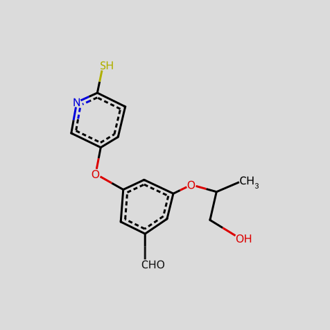 CC(CO)Oc1cc(C=O)cc(Oc2ccc(S)nc2)c1